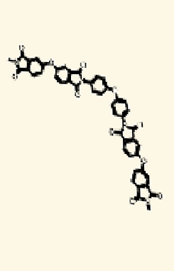 CN1C(=O)c2ccc(Oc3ccc4c(c3)C(=O)N(c3ccc(Oc5ccc(N6C(=O)c7ccc(Oc8ccc9c(c8)C(=O)N(C)C9=O)cc7C6=O)cc5)cc3)C4=O)cc2C1=O